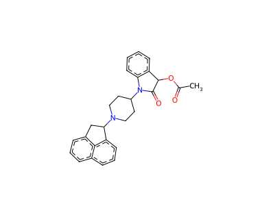 CC(=O)OC1C(=O)N(C2CCN(C3Cc4cccc5cccc3c45)CC2)c2ccccc21